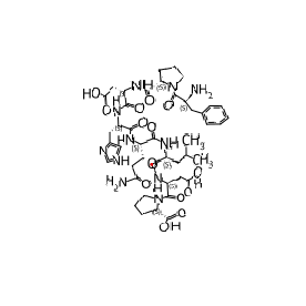 CC(C)C[C@H](NC(=O)[C@H](CCC(N)=O)NC(=O)[C@H](Cc1c[nH]cn1)NC(=O)[C@H](CC(=O)O)NC(=O)[C@@H]1CCCN1C(=O)[C@@H](N)Cc1ccccc1)C(=O)N[C@@H](CC(=O)O)C(=O)N1CCC[C@H]1C(=O)O